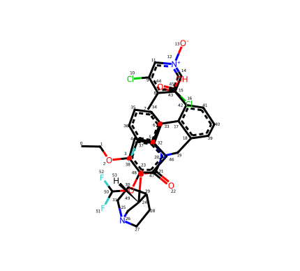 CCOc1cc([C@H](Cc2c(Cl)c[n+]([O-])cc2Cl)c2c(CN(C(=O)O[C@H]3CN4CCC3CC4)c3ccccc3F)cccc2C(=O)O)ccc1OC(F)F